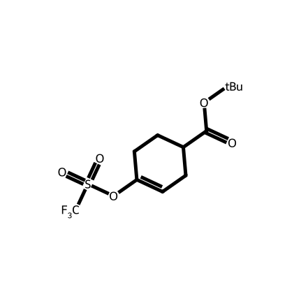 CC(C)(C)OC(=O)C1CC=C(OS(=O)(=O)C(F)(F)F)CC1